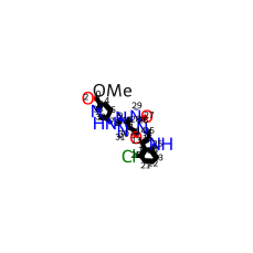 COC(=O)c1ccc(Nc2nc3c(c(=O)n(Cc4cc5c(Cl)cccc5[nH]4)c(=O)n3C)n2C)cn1